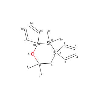 C=C[Si]1(C=C)CC(C)(C)O[Si](C=C)(C=C)[Si]1(C)C